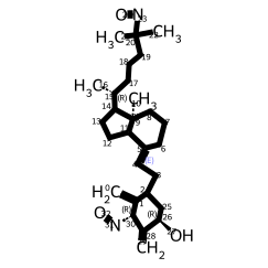 C=C1C(C/C=C2\CCC[C@@]3(C)C2CCC3[C@H](C)CCCC(C)(C)N=O)C[C@@H](O)C(=C)[C@@H]1N=O